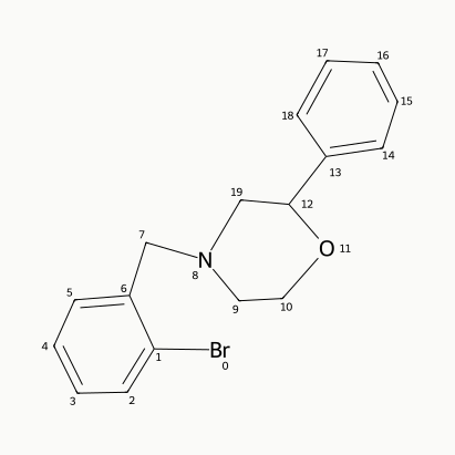 Brc1ccccc1CN1CCOC(c2ccccc2)C1